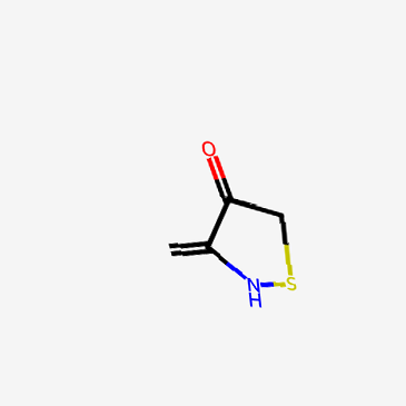 C=C1NSCC1=O